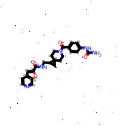 NC(=O)Nc1ccc(C(=O)N2CCC3(CC2)CC3CNC(=O)c2cc3ccncc3o2)cc1